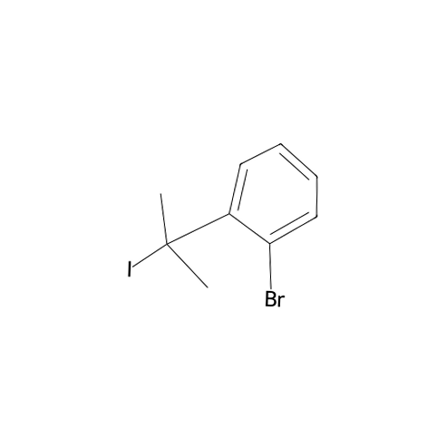 CC(C)(I)c1ccccc1Br